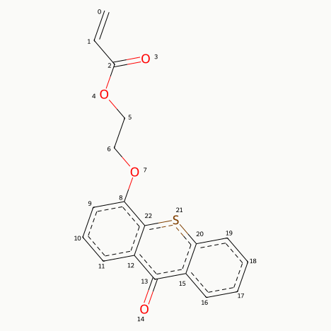 C=CC(=O)OCCOc1cccc2c(=O)c3ccccc3sc12